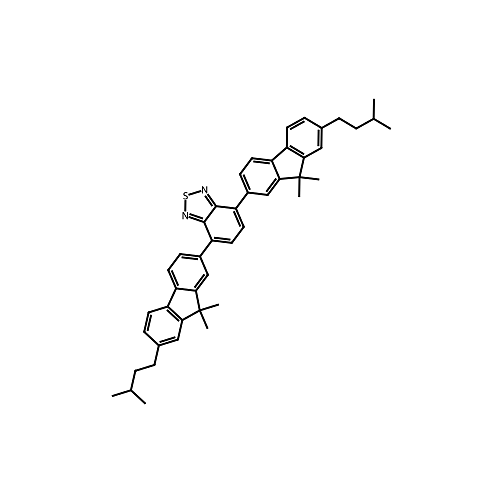 CC(C)CCc1ccc2c(c1)C(C)(C)c1cc(-c3ccc(-c4ccc5c(c4)C(C)(C)c4cc(CCC(C)C)ccc4-5)c4nsnc34)ccc1-2